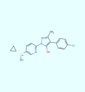 Cc1nn(-c2ccc([S@@](=N)C3CC3)cn2)c(O)c1-c1ccc(Cl)cc1